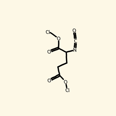 O=C=NC(CCC(=O)OCl)C(=O)OCl